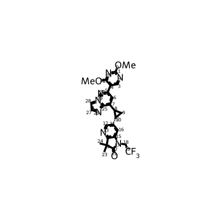 COc1ncc(-c2cc(C3C[C@@H]3c3cnc4c(c3)N(CC(F)(F)F)C(=O)C4(C)C)c3nccn3n2)c(OC)n1